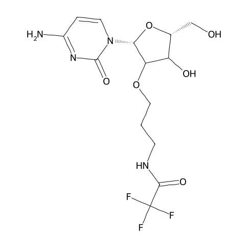 Nc1ccn([C@@H]2O[C@H](CO)C(O)C2OCCCNC(=O)C(F)(F)F)c(=O)n1